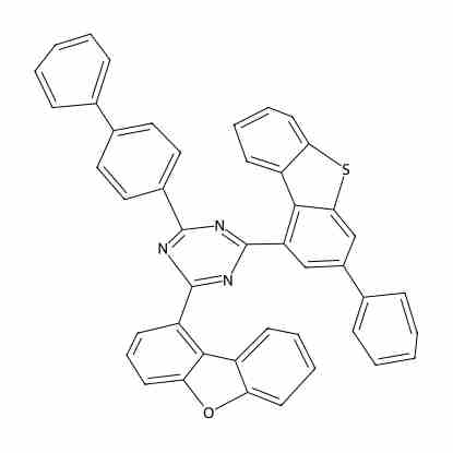 c1ccc(-c2ccc(-c3nc(-c4cccc5oc6ccccc6c45)nc(-c4cc(-c5ccccc5)cc5sc6ccccc6c45)n3)cc2)cc1